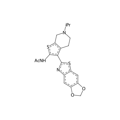 CC(=O)Nc1sc2c(c1-c1nc3cc4c(cc3s1)OCO4)CCN(C(C)C)C2